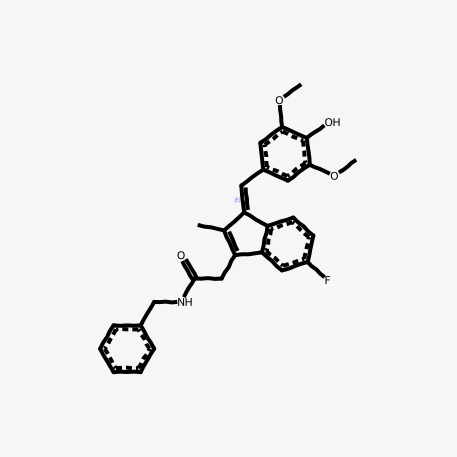 COc1cc(/C=C2/C(C)=C(CC(=O)NCc3ccccc3)c3cc(F)ccc32)cc(OC)c1O